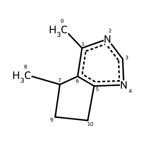 Cc1ncnc2c1C(C)CC2